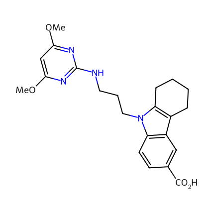 COc1cc(OC)nc(NCCCn2c3c(c4cc(C(=O)O)ccc42)CCCC3)n1